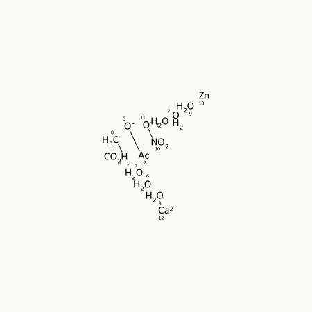 CC(=O)O.CC(=O)[O-].O.O.O.O.O.O.O=[N+]([O-])[O-].[Ca+2].[Zn]